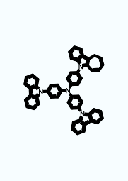 C1=CCc2c(n(-c3ccc(N(c4ccc(-n5c6ccccc6c6ccccc65)cc4)c4ccc(-n5c6ccccc6c6ccccc65)cc4)cc3)c3ccccc23)C=C1